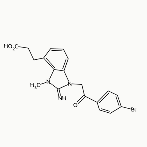 Cn1c(=N)n(CC(=O)c2ccc(Br)cc2)c2cccc(CCC(=O)O)c21